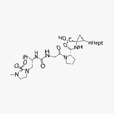 CCCCCCCC1C[C@]1(NC(=O)[C@@H]1CCCN1C(=O)CNC(=O)NC(CN1CCN(C)S1(=O)=O)C(C)C)C(=O)O